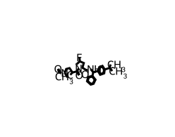 CC(=O)N1CCC(C(=O)N2CC(F)CC2C(=O)NC(c2ccccc2)c2ccc(C(C)C)cc2)CC1